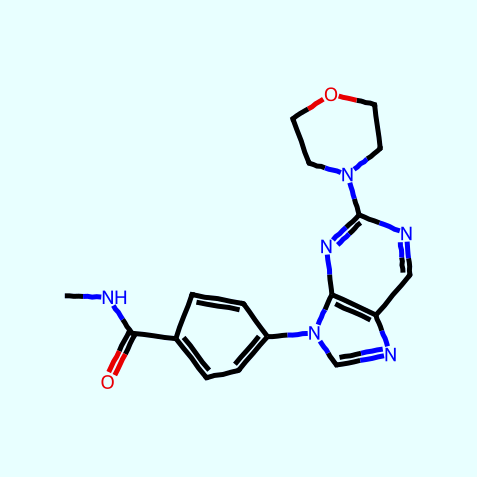 CNC(=O)c1ccc(-n2cnc3cnc(N4CCOCC4)nc32)cc1